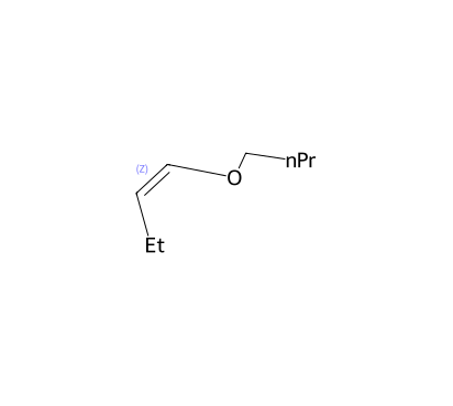 CC/C=C\OCCCC